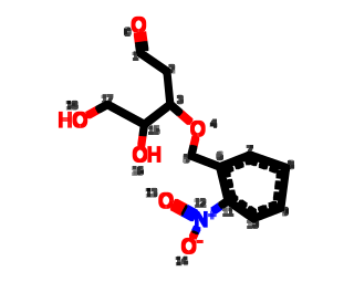 O=CCC(OCc1ccccc1[N+](=O)[O-])C(O)CO